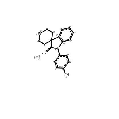 Cl.N#Cc1ccc(N2C(=O)C3(CCNCC3)c3ccccc32)cc1